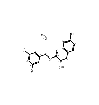 CN[C@@H](Cc1ccc(N)nc1)C(=O)OCc1cc(Cl)nc(Cl)c1.Cl.Cl